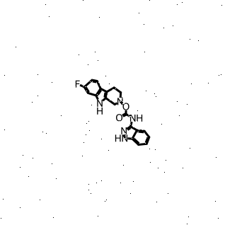 O=C(Nc1n[nH]c2ccccc12)ON1CCc2c([nH]c3cc(F)ccc23)C1